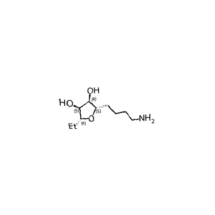 CC[C@H]1O[C@@H](CCCCN)[C@H](O)[C@@H]1O